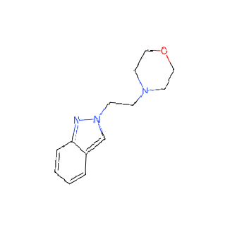 c1ccc2nn(CCN3CCOCC3)cc2c1